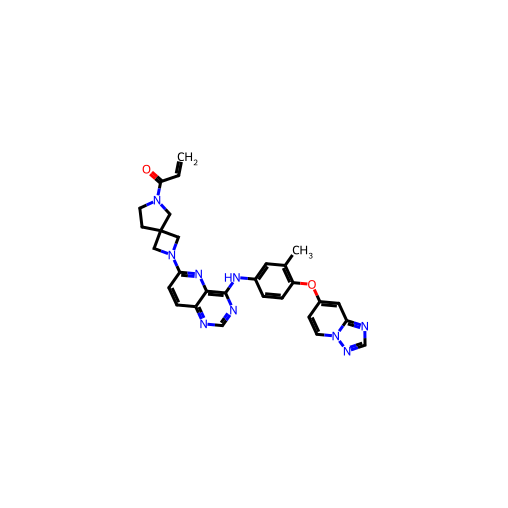 C=CC(=O)N1CCC2(C1)CN(c1ccc3ncnc(Nc4ccc(Oc5ccn6ncnc6c5)c(C)c4)c3n1)C2